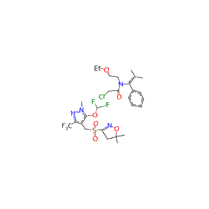 CCOCCN(C(=O)CCl)C(=C(C)C)c1ccccc1.Cn1nc(C(F)(F)F)c(CS(=O)(=O)C2=NOC(C)(C)C2)c1OC(F)F